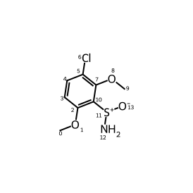 COc1ccc(Cl)c(OC)c1[S+](N)[O-]